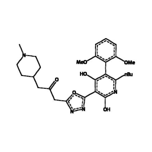 CCCCc1nc(O)c(-c2nnc(CC(=O)CC3CCN(C)CC3)o2)c(O)c1-c1c(OC)cccc1OC